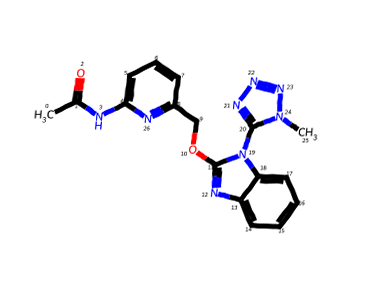 CC(=O)Nc1cccc(COc2nc3ccccc3n2-c2nnnn2C)n1